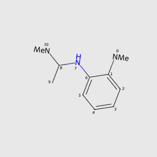 CNc1ccccc1NC(C)NC